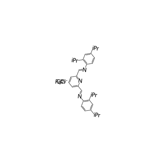 CC(C)c1ccc(N=Cc2cccc(C=Nc3ccc(C(C)C)cc3C(C)C)n2)c(C(C)C)c1.[Cl-].[Cl-].[Fe+2]